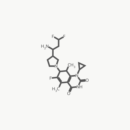 CC1=C(F)C(N2CCC(C(N)CC(F)F)C2)C(C)c2c1c(=O)[nH]c(=O)n2C1CC1